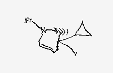 CC(C)N1C=CC(I)(C2CC2)N1